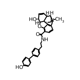 CN1CC[C@]23c4c5ccc(C(=O)NCCc6ccc(-c7ccc(O)cc7)cc6)c4O[C@H]2[C@@H](O)C=C[C@H]3[C@H]1C5